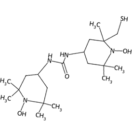 CC1(C)CC(NC(=O)NC2CC(C)(C)N(O)C(C)(CS)C2)CC(C)(C)N1O